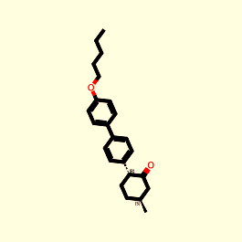 CCCCCOc1ccc(-c2ccc([C@H]3CC[C@H](C)CC3=O)cc2)cc1